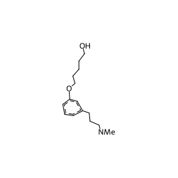 CNCCCc1cccc(OCCCCCO)c1